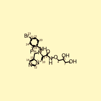 O=C(NOCC(O)CO)C1=C[N+]2C=NC=C2CN1Nc1ccc(Br)cc1F